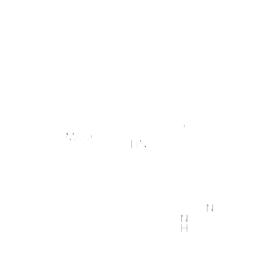 COC(CNC(=O)c1cn[nH]c1)c1ccccc1